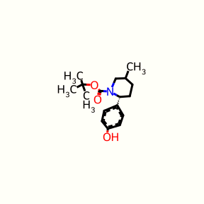 CC1CC[C@H](c2ccc(O)cc2)N(C(=O)OC(C)(C)C)C1